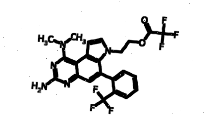 CN(C)c1nc(N)nc2cc(-c3ccccc3C(F)(F)F)c3c(ccn3CCOC(=O)C(F)(F)F)c12